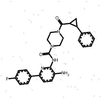 Nc1ccc(-c2ccc(F)cc2)nc1NC(=O)N1CCN(C(=O)C2CC2c2ccccc2)CC1